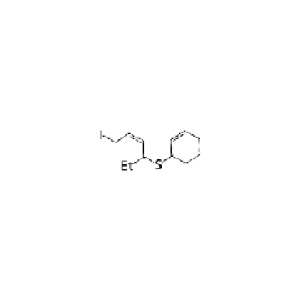 CCC(/C=C\CI)SC1C=CCCC1